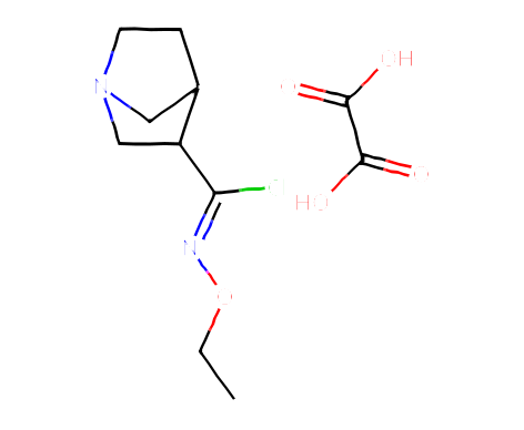 CCON=C(Cl)C1CN2CCC1C2.O=C(O)C(=O)O